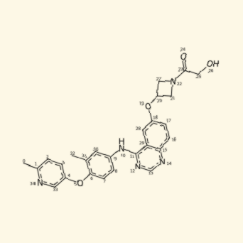 Cc1ccc(Oc2ccc(Nc3ncnc4ccc(OC5CN(C(=O)CO)C5)cc34)cc2C)cn1